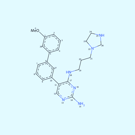 COc1cccc(-c2cccc(-c3cnc(N)nc3NCCCN3CCNC3)c2)c1